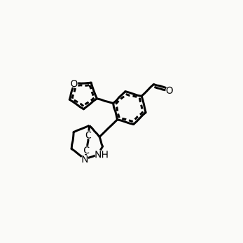 O=Cc1ccc(C2CNN3CCC2CC3)c(-c2ccoc2)c1